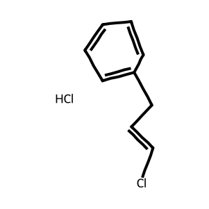 Cl.ClC=CCc1ccccc1